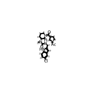 CC(=O)N1CCC(C(=O)N2CCC[C@@H](N(C)C(=O)NCc3cc4cc(Cl)ccc4[nH]3)C2)C1